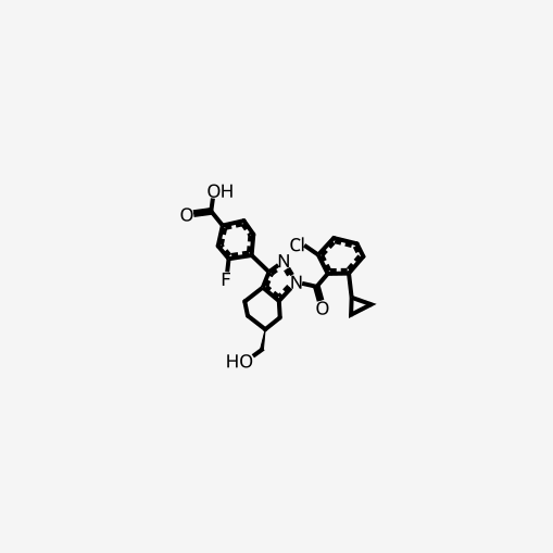 O=C(O)c1ccc(-c2nn(C(=O)c3c(Cl)cccc3C3CC3)c3c2CC[C@H](CO)C3)c(F)c1